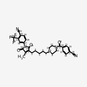 CC1=C(CCCCCN2CCN(C(=O)c3ccc(C#N)cc3)CC2)C(=O)N(c2ccc(C#N)c(C(F)(F)F)c2)C1=O